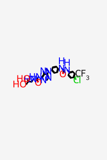 O=C(Nc1ccc(-n2cnc3c(NC(=O)NCC(O)CO)ncnc32)cc1)Nc1ccc(Cl)c(C(F)(F)F)c1